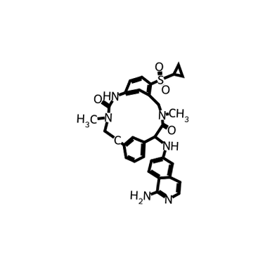 CN1CCc2cccc(c2)C(Nc2ccc3c(N)nccc3c2)C(=O)N(C)Cc2cc(ccc2S(=O)(=O)C2CC2)NC1=O